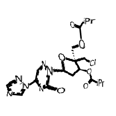 CC(C)C(=O)OC[C@@]1(CCl)OC(n2ncc(-n3cncn3)nc2=O)C[C@@H]1OC(=O)C(C)C